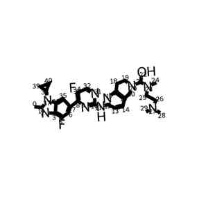 Cc1nc2c(F)cc(-c3nc(Nc4ccc5c(n4)CCN(C(O)N(C)CCN(C)C)C5)ncc3F)cc2n1C1CC1